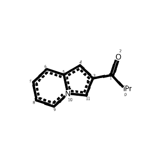 CC(C)C(=O)c1cc2ccccn2c1